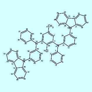 Cc1cc(N(c2ccccc2)c2cccc(-n3c4ccccc4c4ccccc43)c2)c(Cl)c(N(c2ccccc2)c2cccc(-n3c4ccccc4c4ccccc43)c2)c1